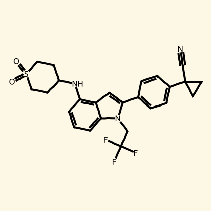 N#CC1(c2ccc(-c3cc4c(NC5CCS(=O)(=O)CC5)cccc4n3CC(F)(F)F)cc2)CC1